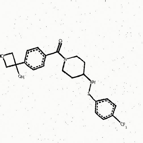 O=C(c1ccc(C2(O)COC2)cc1)N1CCC(NSc2ccc(C(F)(F)F)cc2)CC1